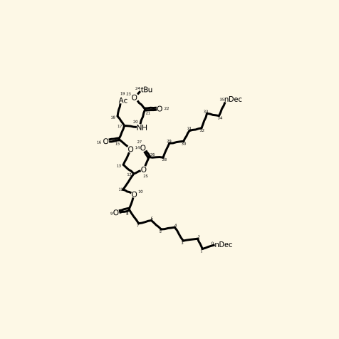 CCCCCCCCCCCCCCCCCC(=O)OCC(COC(=O)C(CC(C)=O)NC(=O)OC(C)(C)C)OC(=O)CCCCCCCCCCCCCCCCC